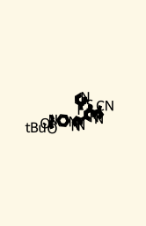 CN(C(=O)OC(C)(C)C)[C@H]1CC[C@@H](n2cc(-c3cc(Sc4ncccc4F)c4c(C#N)cnn4c3)nn2)CC1